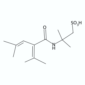 CC(C)=CC(C(=O)NC(C)(C)CS(=O)(=O)O)=C(C)C